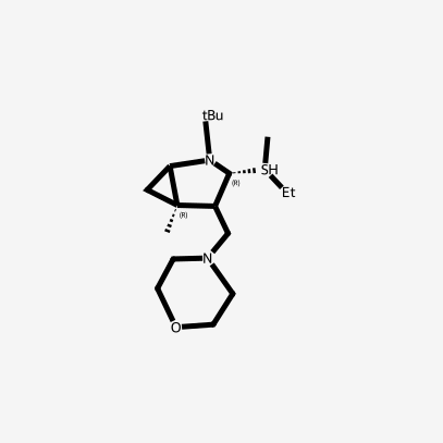 CC[SH](C)[C@@H]1C(CN2CCOCC2)[C@@]2(C)CC2N1C(C)(C)C